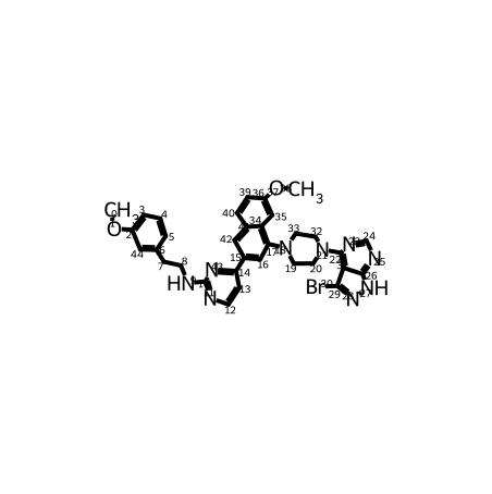 COc1cccc(CCNc2nccc(-c3cc(N4CCN(c5ncnc6[nH]nc(Br)c56)CC4)c4cc(OC)ccc4c3)n2)c1